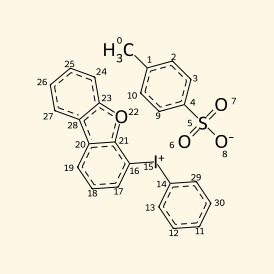 Cc1ccc(S(=O)(=O)[O-])cc1.c1ccc([I+]c2cccc3c2oc2ccccc23)cc1